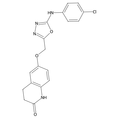 O=C1CCc2cc(OCc3nnc(Nc4ccc(Cl)cc4)o3)ccc2N1